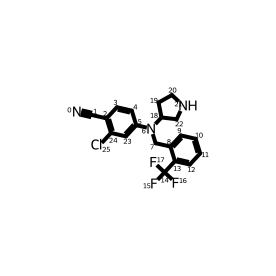 N#Cc1ccc(N(Cc2ccccc2C(F)(F)F)C2CCNC2)cc1Cl